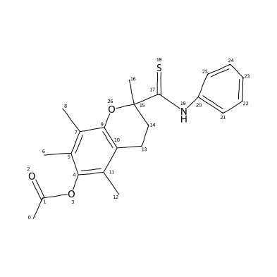 CC(=O)Oc1c(C)c(C)c2c(c1C)CCC(C)(C(=S)Nc1ccccc1)O2